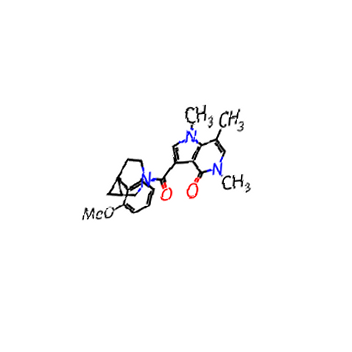 COc1ccccc1C12CCN(C(=O)c3cn(C)c4c(C)cn(C)c(=O)c34)CC1C2